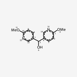 COc1ccc(C(O)c2ccc(OC)nc2)cn1